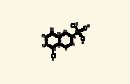 O=S(=O)(Cl)c1ccc2c(Cl)ccnc2c1